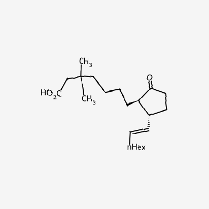 CCCCCCC=C[C@H]1CCC(=O)[C@@H]1CCCCC(C)(C)CC(=O)O